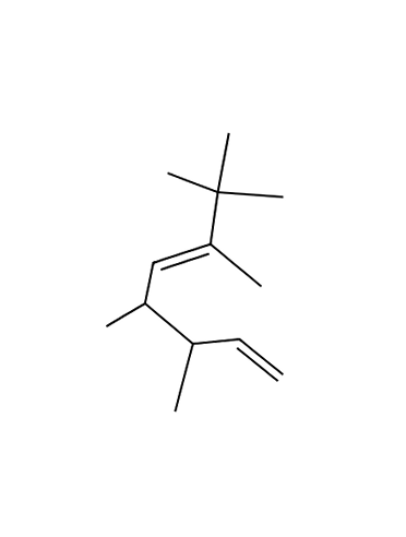 C=CC(C)C(C)/C=C(\C)C(C)(C)C